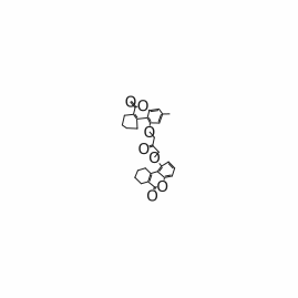 Cc1cc(OCC(=O)COc2cccc3oc(=O)c4c(c23)CCCC4)c2c3c(c(=O)oc2c1)CCCC3